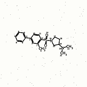 Cc1cc(-c2ccccc2)ccc1S(=O)(=O)N1CCC(N(C)C)C1